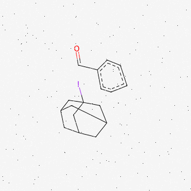 IC12CC3CC(CC(C3)C1)C2.O=Cc1ccccc1